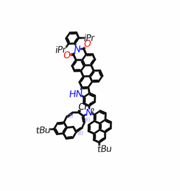 C=C1/C=C\c2cc(C(C)(C)C)cc3c2C/C(=C\C=C/1N(c1ccc2c(c1)[nH]c1cc4c5ccc6c7c(ccc(c8cccc(c12)c84)c75)C(=O)N(c1c(C(C)C)cccc1C(C)C)C6=O)c1ccc2ccc4cc(C(C)(C)C)cc5ccc1c2c45)C=C3